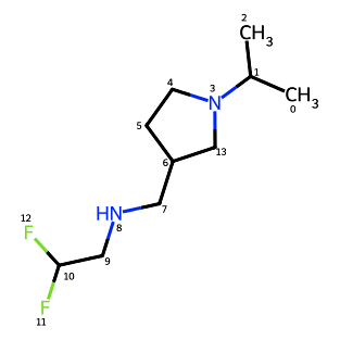 CC(C)N1CCC(CNCC(F)F)C1